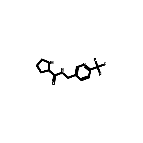 O=C(NCc1ccc(C(F)(F)F)nc1)C1CCCN1